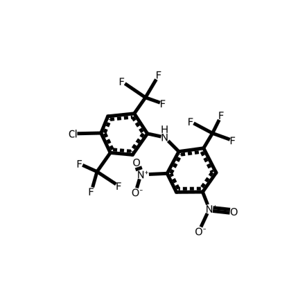 O=[N+]([O-])c1cc([N+](=O)[O-])c(Nc2cc(C(F)(F)F)c(Cl)cc2C(F)(F)F)c(C(F)(F)F)c1